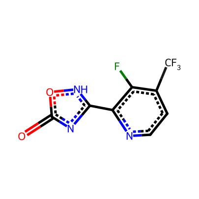 O=c1nc(-c2nccc(C(F)(F)F)c2F)[nH]o1